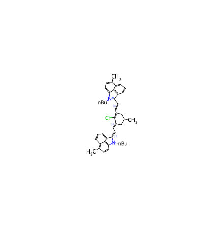 CCCCn1/c(=C/C=C2\CC(C)CC(/C=C/C3=[N+](CCCC)c4ccc(C)c5cccc3c45)=C2Cl)c2cccc3c(C)ccc1c32